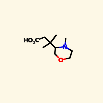 CN1CCOCC1C(C)(C)CC(=O)O